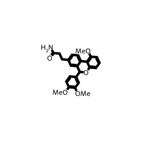 COc1ccc(C2Oc3cccc(OC)c3-c3ccc(CCC(N)=O)cc32)cc1OC